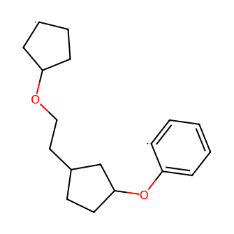 [c]1ccccc1OC1CCC(CCOC2C[CH]CC2)C1